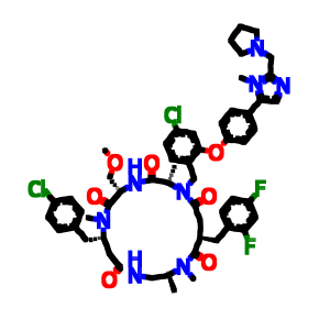 COC[C@@H]1NC(=O)[C@H](C)N(Cc2ccc(Cl)cc2Oc2ccc(-c3cnc(CN4CCCC4)n3C)cc2)C(=O)C[C@@H](Cc2ccc(F)cc2F)C(=O)N(C)[C@@H](C)CNC(=O)C[C@H](Cc2ccc(Cl)cc2)N(C)C1=O